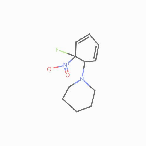 O=[N+]([O-])C1(F)C=CC=CC1N1CCCCC1